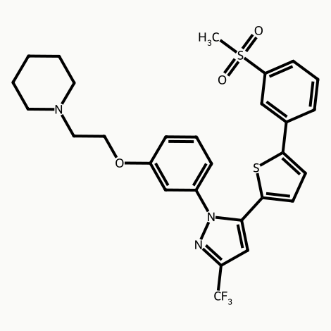 CS(=O)(=O)c1cccc(-c2ccc(-c3cc(C(F)(F)F)nn3-c3cccc(OCCN4CCCCC4)c3)s2)c1